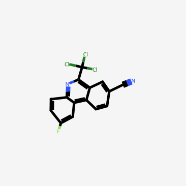 N#Cc1ccc2c(c1)c(C(Cl)(Cl)Cl)nc1ccc(F)cc12